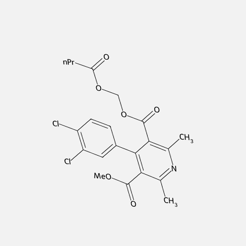 CCCC(=O)OCOC(=O)c1c(C)nc(C)c(C(=O)OC)c1-c1ccc(Cl)c(Cl)c1